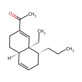 CCC[C@@H]1CC=C[C@H]2CCC(C(C)=O)=C[C@@]12CC